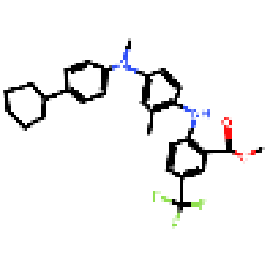 COC(=O)c1cc(C(F)(F)F)ccc1Nc1ccc(N(C)c2ccc(C3CCCCC3)cc2)cc1C